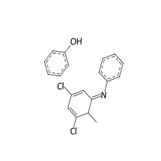 CC1C(Cl)=CC(Cl)=CC1=Nc1ccccc1.Oc1ccccc1